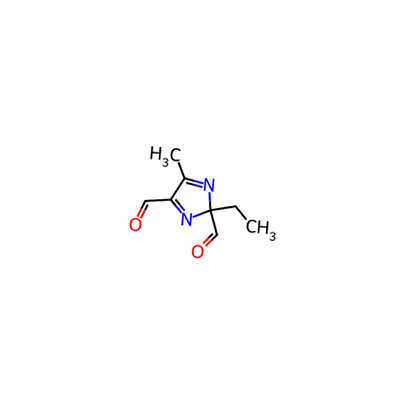 CCC1(C=O)N=C(C)C(C=O)=N1